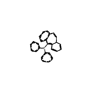 C1=CC2=C(P(c3ccccc3)c3ccccc3)c3ccccc3C=CC2C=C1